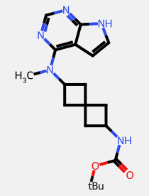 CN(c1ncnc2[nH]ccc12)C1CC2(CC(NC(=O)OC(C)(C)C)C2)C1